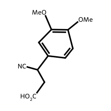 COc1ccc(C(C#N)CC(=O)O)cc1OC